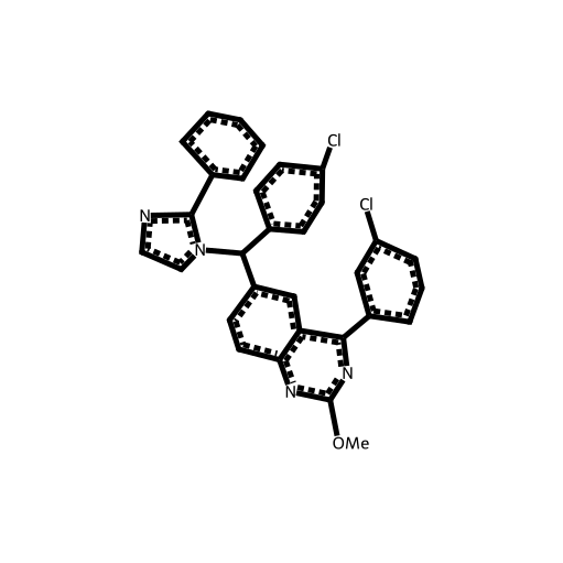 COc1nc(-c2cccc(Cl)c2)c2cc(C(c3ccc(Cl)cc3)n3ccnc3-c3ccccc3)ccc2n1